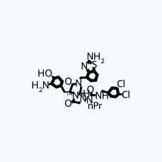 CCCN(C(=O)NCc1ccc(Cl)c(Cl)c1)N1CC(=O)N2[C@@H](Cc3ccc(O)c(N)c3)C(=O)N(Cc3cccc4sc(N)nc34)C[C@@H]21